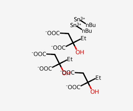 CCC(O)(CC(=O)[O-])C(=O)[O-].CCC(O)(CC(=O)[O-])C(=O)[O-].CCC(O)(CC(=O)[O-])C(=O)[O-].CCC[CH2][Sn+3].CCC[CH2][Sn+3]